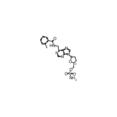 Cc1ccccc1C(=O)NCc1ncnc2c1ncn2[C@H]1CC[C@@H](COS(N)(=O)=O)O1